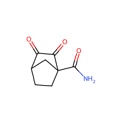 NC(=O)C12CCC(C1)C(=O)C2=O